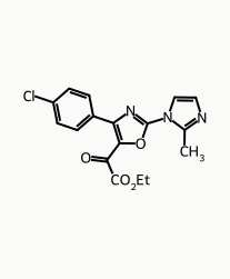 CCOC(=O)C(=O)c1oc(-n2ccnc2C)nc1-c1ccc(Cl)cc1